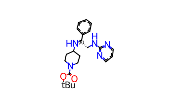 CC(C)(C)OC(=O)N1CCC(N[C@@H](CNc2ncccn2)c2ccccc2)CC1